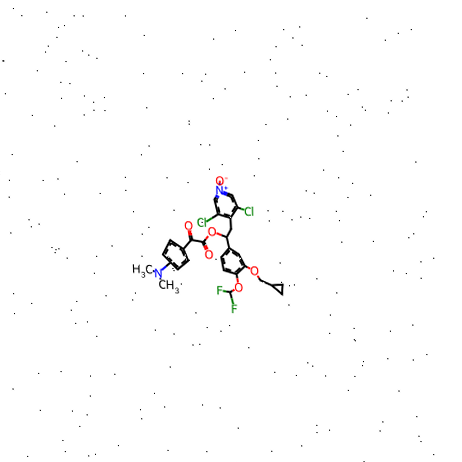 CN(C)c1ccc(C(=O)C(=O)OC(Cc2c(Cl)c[n+]([O-])cc2Cl)c2ccc(OC(F)F)c(OCC3CC3)c2)cc1